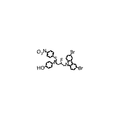 O=[N+]([O-])c1ccc(SN(CC(F)Cn2c3ccc(Br)cc3c3cc(Br)ccc32)c2ccc(O)cc2)cc1